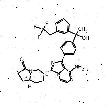 CC(O)(c1ccc(-c2nc([C@@H]3CC[C@H]4CCC(=O)N4C3)n3ccnc(N)c23)cc1)c1cccc(CC(F)(F)F)c1